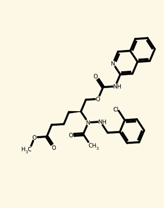 COC(=O)CCC[C@@H](COC(=O)Nc1cc2ccccc2cn1)N(NCc1ccccc1Cl)C(C)=O